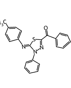 Cc1ccc(N=c2sc(C(=O)c3ccccc3)nn2-c2ccccc2)cc1